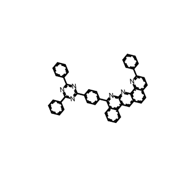 c1ccc(-c2ccc3ccc4cc5c(nc(-c6ccc(-c7nc(-c8ccccc8)nc(-c8ccccc8)n7)cc6)c6ccccc65)nc4c3n2)cc1